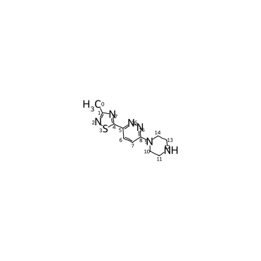 Cc1nsc(-c2ccc(N3CCNCC3)nn2)n1